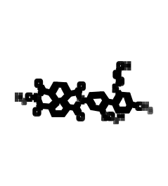 Cc1ccc(-c2ccc(N3C(=O)c4ccc5c6c(ccc(c46)C3=O)C(=O)N(C)C5=O)cc2S(=O)(=O)O)c(SOOO)c1